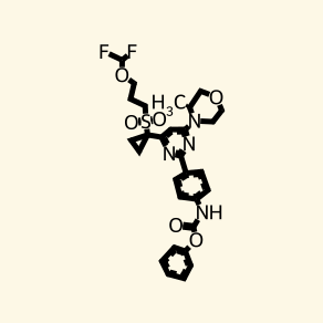 C[C@H]1COCCN1c1cc(C2(S(=O)(=O)CCCOC(F)F)CC2)nc(-c2ccc(NC(=O)Oc3ccccc3)cc2)n1